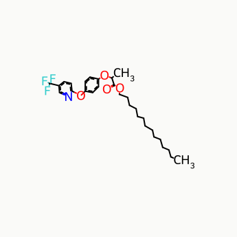 CCCCCCCCCCCCCCOC(=O)C(C)Oc1ccc(Oc2ccc(C(F)(F)F)cn2)cc1